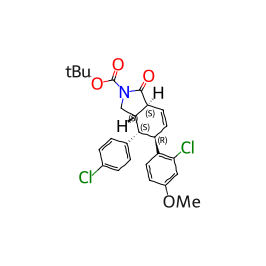 COc1ccc([C@@H]2C=C[C@@H]3C(=O)N(C(=O)OC(C)(C)C)C[C@H]3[C@H]2c2ccc(Cl)cc2)c(Cl)c1